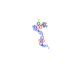 CC(C)N(C(=O)c1cc(F)ccc1Oc1nncnc1N1CC2(CCN(CC3CCN(S(=O)(=O)N4CCC[C@@H](N)C4)CC3)CC2)C1)C(C)C